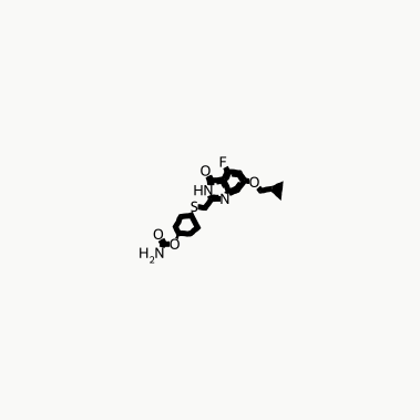 NC(=O)O[C@H]1CC[C@H](SCc2nc3cc(OCC4CC4)cc(F)c3c(=O)[nH]2)CC1